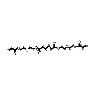 C=CC(=O)OCCOCCOC(=O)CCCCC(=O)OCCOCCOC(=O)C=C